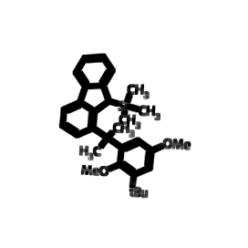 COc1cc(C(C)(C)C)c(OC)c(C(C)(C)c2cccc3c2C([Si](C)(C)C)c2ccccc2-3)c1